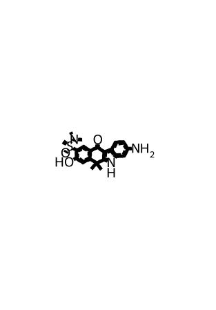 C=S(=O)(c1cc2c(cc1O)C(C)(C)c1[nH]c3cc(N)ccc3c1C2=O)N(C)C